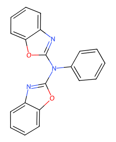 c1ccc(N(c2nc3ccccc3o2)c2nc3ccccc3o2)cc1